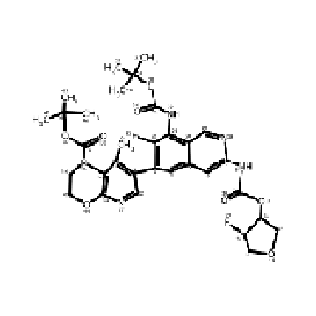 Cc1c(-c2cc3cc(NC(=O)OC4COCC4F)ncc3c(NC(=O)OC(C)(C)C)c2F)cnc2c1N(C(=O)OC(C)(C)C)CCO2